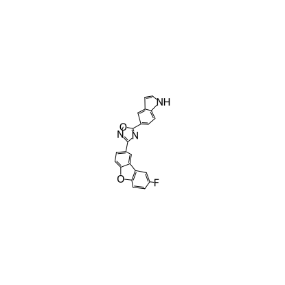 Fc1ccc2oc3ccc(-c4noc(-c5ccc6[nH]ccc6c5)n4)cc3c2c1